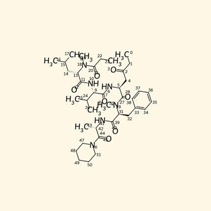 CCC(=O)C[C@H](NC(=O)[C@@H](NC(=O)[C@H](CC(C)C)N(C)C(=O)CC)C(C)C)C(=O)N(C)[C@@H](Cc1ccccc1)C(=O)N[C@@H](C)C(=O)N1CCCCC1